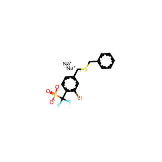 O=P([O-])([O-])C(F)(F)c1ccc(CSCc2ccccc2)cc1Br.[Na+].[Na+]